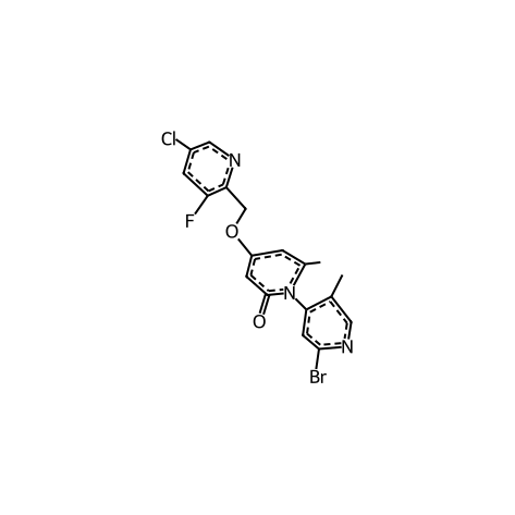 Cc1cnc(Br)cc1-n1c(C)cc(OCc2ncc(Cl)cc2F)cc1=O